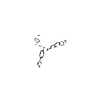 CN(CC[C@@H](NC(=O)c1cc2cc3c(nc2s1)CC[C@H](C(C)(C)C)C3)c1ccc(-c2ccc(=O)[nH]c2)cc1)C1CCCC1.O=CO